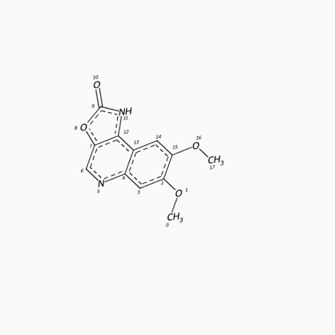 COc1cc2ncc3oc(=O)[nH]c3c2cc1OC